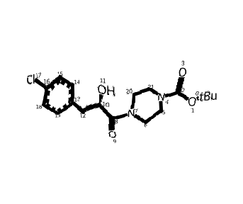 CC(C)(C)OC(=O)N1CCN(C(=O)[C@H](O)Cc2ccc(Cl)cc2)CC1